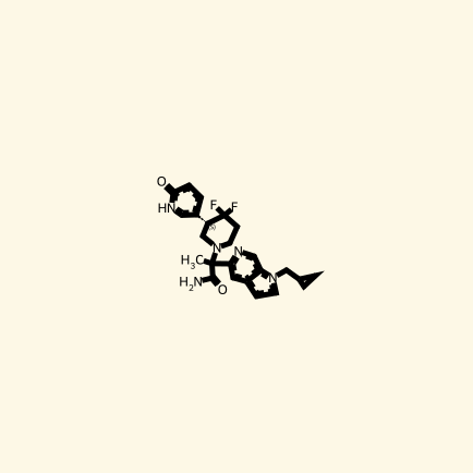 CC(C(N)=O)(c1cc2ccn(CC3CC3)c2cn1)N1CCC(F)(F)[C@@H](c2ccc(=O)[nH]c2)C1